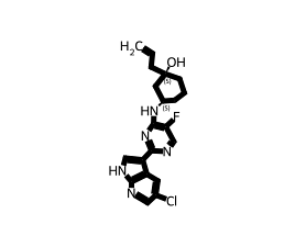 C=CC[C@@]1(O)CCC[C@H](Nc2nc(-c3c[nH]c4ncc(Cl)cc34)ncc2F)C1